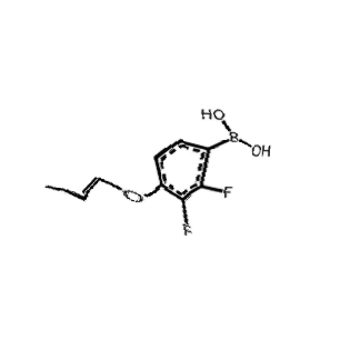 CC=COc1ccc(B(O)O)c(F)c1F